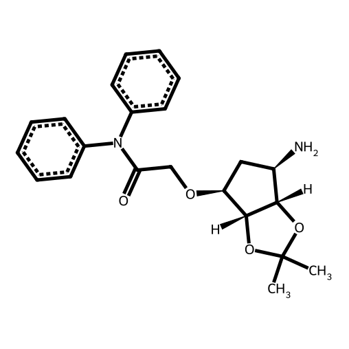 CC1(C)O[C@@H]2[C@H](O1)[C@@H](OCC(=O)N(c1ccccc1)c1ccccc1)C[C@H]2N